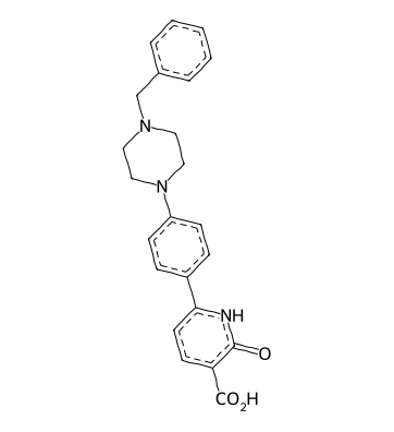 O=C(O)c1ccc(-c2ccc(N3CCN(Cc4ccccc4)CC3)cc2)[nH]c1=O